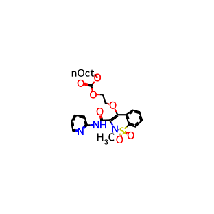 CCCCCCCCOC(=O)OCCOC1=C(C(=O)Nc2ccccn2)N(C)S(=O)(=O)c2ccccc21